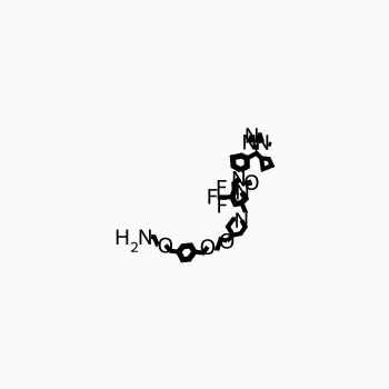 Cn1cnnc1[C@H](c1cccc(-n2cc3c(C(F)(F)F)cc(CN4CCC(OCCOCc5ccc(COCCN)cc5)CC4)cn3c2=O)c1)C1CCC1